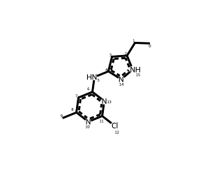 CCc1cc(Nc2cc(C)nc(Cl)n2)n[nH]1